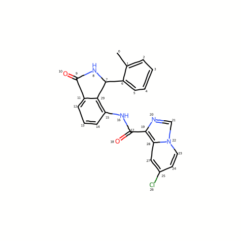 Cc1ccccc1C1NC(=O)c2cccc(NC(=O)c3ncn4ccc(Cl)cc34)c21